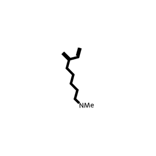 C=CC(=C)CCCCCNC